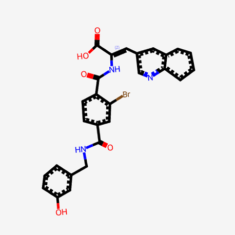 O=C(O)/C(=C/c1cnc2ccccc2c1)NC(=O)c1ccc(C(=O)NCc2cccc(O)c2)cc1Br